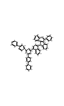 c1ccc(-c2ccc(-c3nc(-c4ccc(-c5ccccc5)cc4)nc(-c4ccc(-n5c6ccccc6c6c(-c7ccccc7)nc7ccccc7c65)c5ccccc45)n3)cc2)cc1